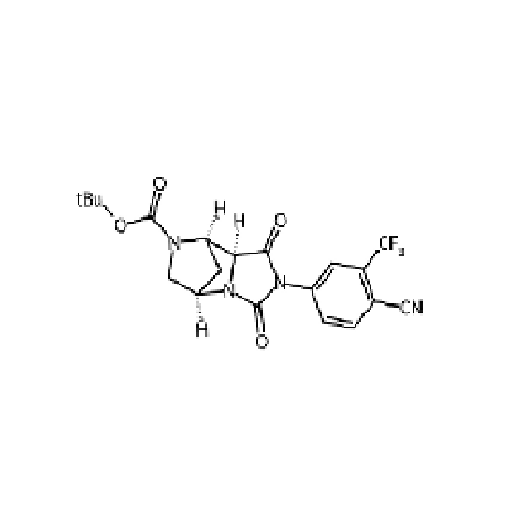 CC(C)(C)OC(=O)N1C[C@H]2C[C@@H]1[C@H]1C(=O)N(c3ccc(C#N)c(C(F)(F)F)c3)C(=O)N21